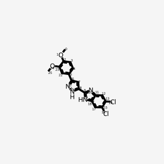 COc1ccc(-c2cc(-c3nc4cc(Cl)c(Cl)cc4[nH]3)[nH]n2)cc1OC